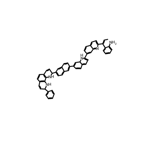 C/C=C(/c1ccc2ccc(C3=CC=C4C=CC(c5ccc6cc(C7C=Cc8ccc9c(c8N7)NC(c7ccccc7)C=C9)ccc6c5)=CC4N3)cc2n1)c1ccccc1N